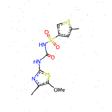 COc1sc(NC(=O)NS(=O)(=O)c2csc(C)c2)nc1C